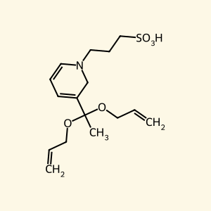 C=CCOC(C)(OCC=C)C1=CC=CN(CCCS(=O)(=O)O)C1